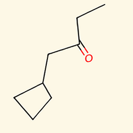 CCC(=O)CC1CCC1